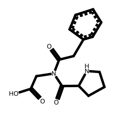 O=C(O)CN(C(=O)Cc1ccccc1)C(=O)C1CCCN1